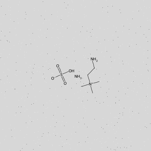 C[N+](C)(C)CCN.N.O=S(=O)([O-])O